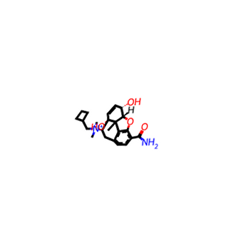 CC12c3c4ccc(C(N)=O)c3O[C@H]1[C@@H](O)C=C[C@@]2(O)[C@H]([N+](C)(C)CC1CCC1)C4